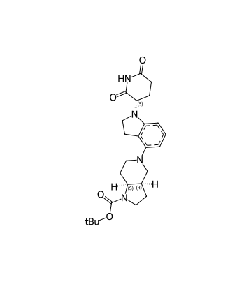 CC(C)(C)OC(=O)N1CC[C@@H]2CN(c3cccc4c3CCN4[C@H]3CCC(=O)NC3=O)CC[C@@H]21